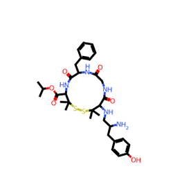 CC(C)OC(=O)C1NC(=O)C(Cc2ccccc2)NC(=O)CNC(=O)C(NCC(N)Cc2ccc(O)cc2)C(C)(C)SSC1(C)C